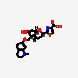 CN1CCCc2ccc(OC[C@@H]3[C@H]4CC[C@H](c5nc(C(=O)O)cs5)O[C@H]4C[C@@H]3O)cc21